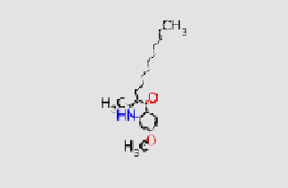 CCCCCCCCCCc1c(C)[nH]c2cc(OC)ccc2c1=O